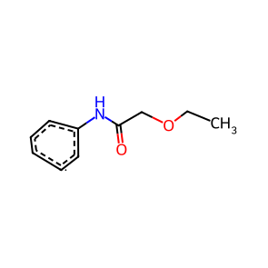 CCOCC(=O)Nc1c[c]ccc1